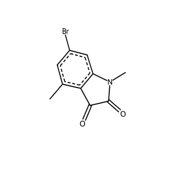 Cc1cc(Br)cc2c1C(=O)C(=O)N2C